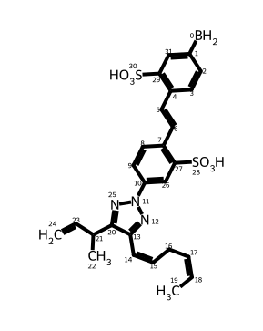 Bc1ccc(/C=C/c2ccc(-n3nc(/C=C\C/C=C\C)c(C(C)C=C)n3)cc2S(=O)(=O)O)c(S(=O)(=O)O)c1